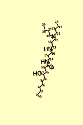 CCCCCCCC(O)CCC(=O)NCCCNCCCN(CCCC)CCCC